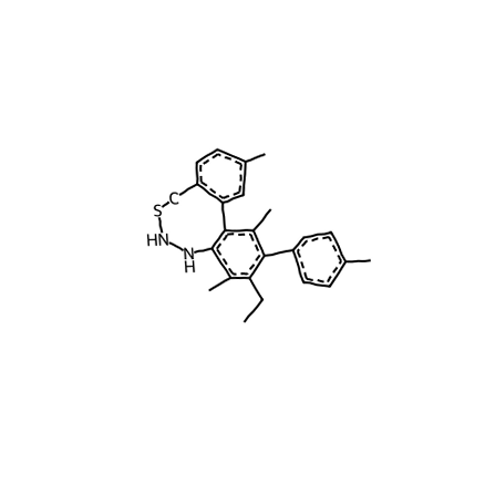 CCc1c(C)c2c(c(C)c1-c1ccc(C)cc1)-c1cc(C)ccc1CSNN2